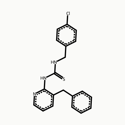 S=C(NCc1ccc(Cl)cc1)Nc1ncccc1Cc1ccccc1